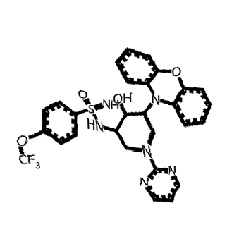 N=S(=O)(NC1CN(c2ncccn2)CC(N2c3ccccc3Oc3ccccc32)C1O)c1ccc(OC(F)(F)F)cc1